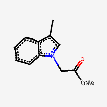 COC(=O)Cn1cc(C)c2ccccc21